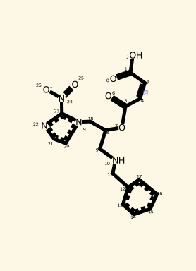 O=C(O)/C=C\C(=O)OC(CNCc1ccccc1)Cn1ccnc1[N+](=O)[O-]